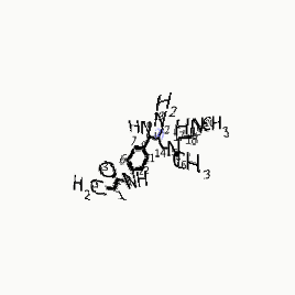 C=CC(=O)Nc1ccc(C(=N)/C(=C\N)CN(C)CCNC)cc1